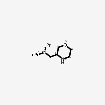 CCCN(CC1COCCN1)C(C)C